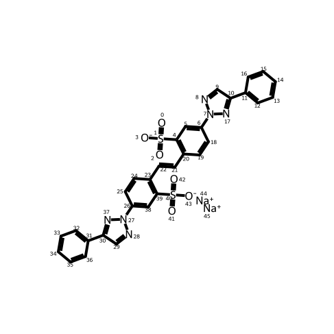 O=S(=O)([O-])c1cc(-n2ncc(-c3ccccc3)n2)ccc1/C=C/c1ccc(-n2ncc(-c3ccccc3)n2)cc1S(=O)(=O)[O-].[Na+].[Na+]